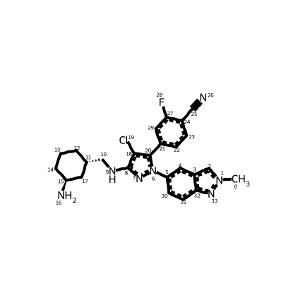 Cn1cc2cc(-n3nc(NC[C@H]4CCC[C@H](N)C4)c(Cl)c3-c3ccc(C#N)c(F)c3)ccc2n1